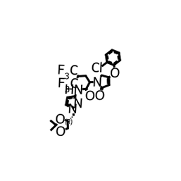 CC1(C)OC[C@@H](Cn2ccc(NC(=O)C(CC(C(F)(F)F)C(F)(F)F)N3CC(Oc4ccccc4Cl)=CC3=O)n2)O1